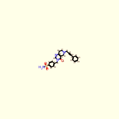 NS(=O)(=O)c1ccc(Cn2cnc3c(c2=O)CN(CC#Cc2ccccc2)CC3)cc1